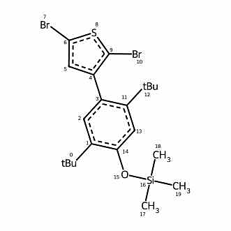 CC(C)(C)c1cc(-c2cc(Br)sc2Br)c(C(C)(C)C)cc1O[Si](C)(C)C